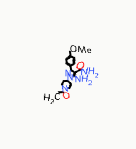 C=CC(=O)N1CCC(n2nc(-c3ccc(COC)cc3)c(C(N)=O)c2N)CC1